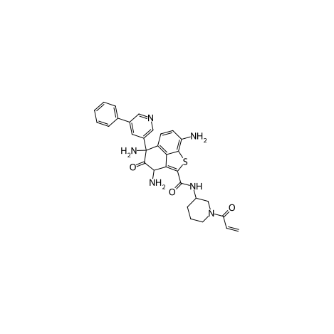 C=CC(=O)N1CCCC(NC(=O)c2sc3c(N)ccc4c3c2C(N)C(=O)C4(N)c2cncc(-c3ccccc3)c2)C1